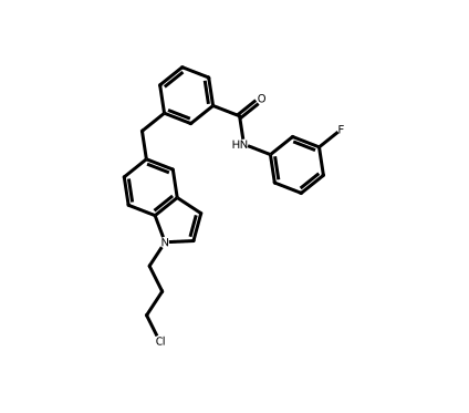 O=C(Nc1cccc(F)c1)c1cccc(Cc2ccc3c(ccn3CCCCl)c2)c1